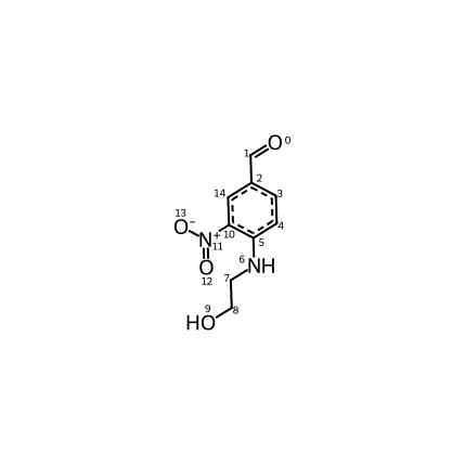 O=Cc1ccc(NCCO)c([N+](=O)[O-])c1